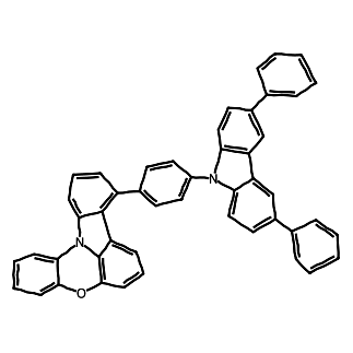 c1ccc(-c2ccc3c(c2)c2cc(-c4ccccc4)ccc2n3-c2ccc(-c3cccc4c3c3cccc5c3n4-c3ccccc3O5)cc2)cc1